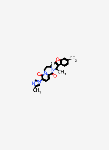 Cc1cn(-c2ccc3n(c2=O)CCC(C)N(C(C)c2coc4cc(C(F)(F)F)ccc24)C3=O)cn1